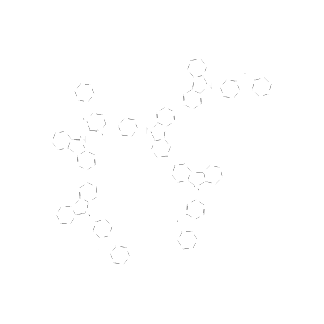 CC1(C)c2ccccc2-c2ccc(-n3c4ccccc4c4cc(-c5ccc6c(c5)c5cc(-c7ccc8c(c7)c7ccccc7n8-c7ccc8c(c7)C(C)(C)c7ccccc7-8)ccc5n6-c5ccc(-c6cc(-c7ccccc7)nc(-n7c8ccccc8c8cc(-c9ccc%10c(c9)c9ccccc9n%10-c9ccc%10c(c9)C(C)(C)c9ccccc9-%10)ccc87)n6)cc5)ccc43)cc21